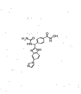 NC(=O)NC(c1ccc(C(=O)NO)cc1)c1nc2cc(-n3ccnc3)ccc2[nH]1